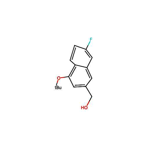 CC(C)(C)Oc1cc(CO)cc2cc(F)ccc12